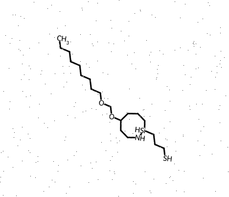 CCCCCCCCCOCOC1CCC[SiH](CCCS)NCC1